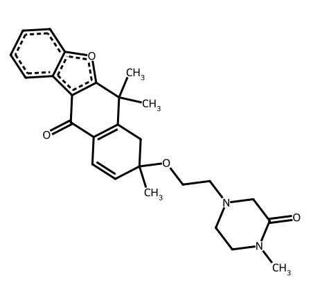 CN1CCN(CCOC2(C)C=CC3=C(C2)C(C)(C)c2oc4ccccc4c2C3=O)CC1=O